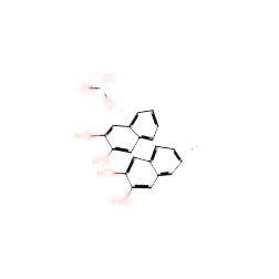 Oc1cc2ccccc2cc1O.Oc1cc2ccccc2cc1O.[Li+].[Li+].[Li+].[O-]B([O-])[O-]